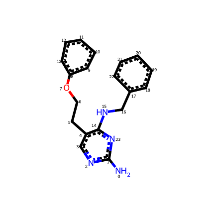 Nc1ncc(CCOc2ccccc2)c(NCc2ccccc2)n1